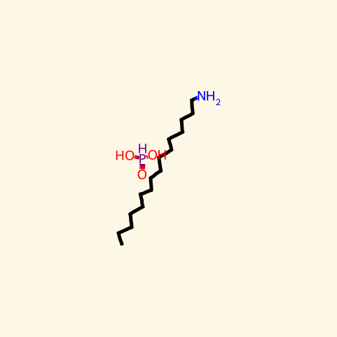 CCCCCCCCCCCCCCCCN.O=[PH](O)O